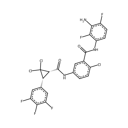 Nc1c(F)ccc(NC(=O)c2cc(NC(=O)[C@@H]3[C@H](c4cc(F)c(F)c(F)c4)C3(Cl)Cl)ccc2Cl)c1F